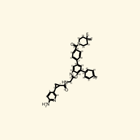 Nc1ccc(C2CC2C(=O)NCc2nc3cc(-c4ccc(C(=O)N5CCC(F)(F)CC5)cc4)cc(-c4ccc(F)cc4)c3o2)cn1